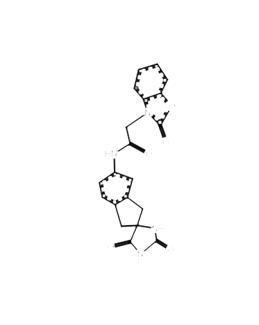 O=C(Cn1c(=O)oc2ccccc21)Nc1ccc2c(c1)CC1(C2)NC(=O)NC1=O